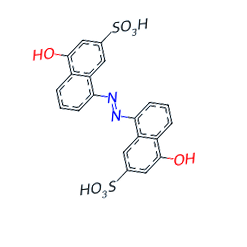 O=S(=O)(O)c1cc(O)c2cccc(N=Nc3cccc4c(O)cc(S(=O)(=O)O)cc34)c2c1